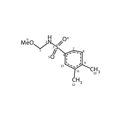 COCNS(=O)(=O)c1ccc(C)c(C)c1